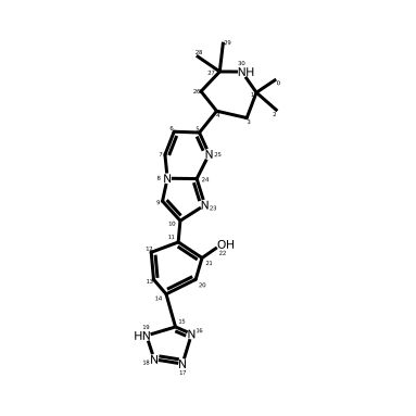 CC1(C)CC(c2ccn3cc(-c4ccc(-c5nnn[nH]5)cc4O)nc3n2)CC(C)(C)N1